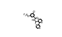 CC(NC(=O)c1cc(Cl)cc(OC(F)(F)F)c1)c1nccnc1-c1cnccn1